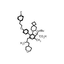 Cc1nc(CN(C)CC2CCOCC2)c(-c2ccc(OCCc3ccc(F)cc3)cc2)c(N2CCC3(CCC3)CC2)c1[C@H](OC(C)(C)C)C(=O)O